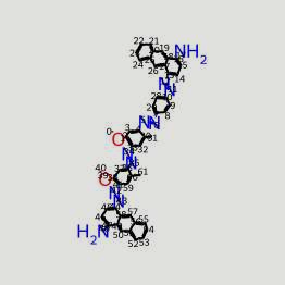 COc1cc(N=Nc2ccc(N=Nc3ccc(N)c4cc5ccccc5cc34)cc2)c(C)cc1N=Nc1cc(OC)c(N=Nc2ccc(N)c3cc4ccccc4cc23)cc1C